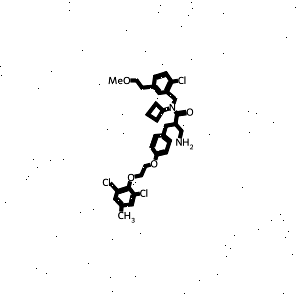 COCCc1ccc(Cl)c(CN(C(=O)C(CN)Cc2ccc(OCCOc3c(Cl)cc(C)cc3Cl)cc2)C2CCC2)c1